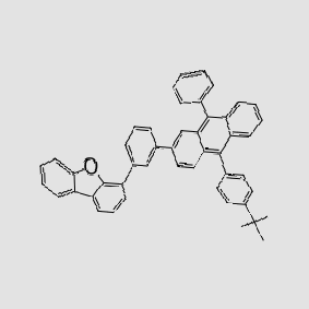 CC(C)(C)c1ccc(-c2c3ccccc3c(-c3ccccc3)c3cc(-c4cccc(-c5cccc6c5oc5ccccc56)c4)ccc23)cc1